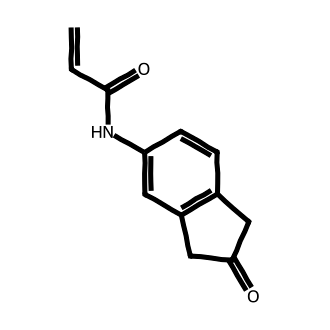 C=CC(=O)Nc1ccc2c(c1)CC(=O)C2